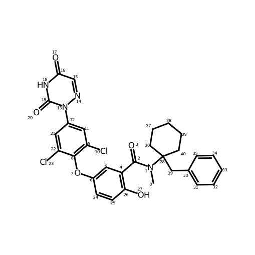 CN(C(=O)c1cc(Oc2c(Cl)cc(-n3ncc(=O)[nH]c3=O)cc2Cl)ccc1O)C1(Cc2ccccc2)CCCCC1